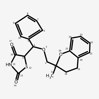 CC1(COC(c2ccccc2)C2SC(=O)NC2=O)CCc2ccccc2O1